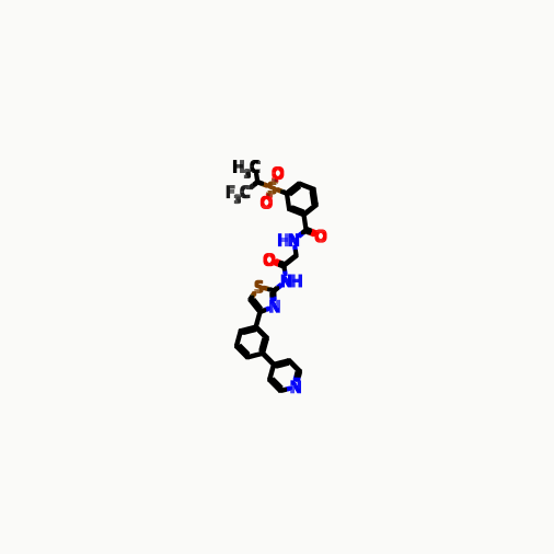 CC(C(F)(F)F)S(=O)(=O)c1cccc(C(=O)NCC(=O)Nc2nc(-c3cccc(-c4ccncc4)c3)cs2)c1